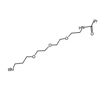 CC(C)C(=O)NCCOCCOCCOCCCC(C)(C)C